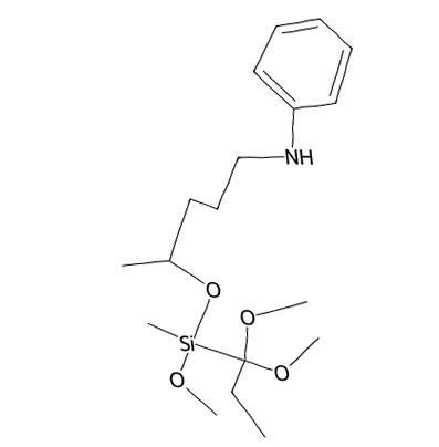 CCC(OC)(OC)[Si](C)(OC)OC(C)CCCNc1ccccc1